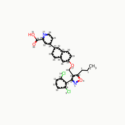 CCCc1onc(-c2c(Cl)cccc2Cl)c1COc1ccc2cc(-c3ccnc(C(=O)O)c3)ccc2c1